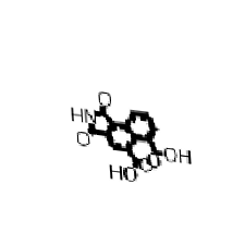 O=C1NC(=O)c2c1cc(C(=O)O)c1c(C(=O)O)cccc21